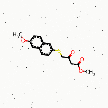 COC(=O)CC(=O)CSc1ccc2cc(OC)ccc2c1